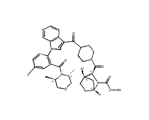 C[C@@H]1COC[C@@H](C)N1C(=O)c1cc(F)ccc1-n1cc(C(=O)C2CCN(C(=O)[C@@H]3[C@H]4CC[C@H](C4)N3C(=O)OC(C)(C)C)CC2)c2ccncc21